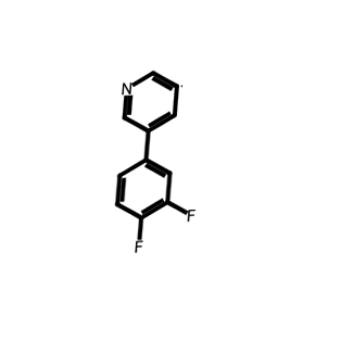 Fc1ccc(-c2c[c]cnc2)cc1F